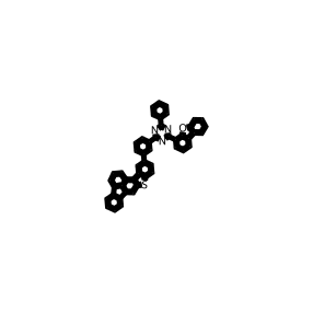 c1ccc(-c2nc(-c3cccc(-c4ccc5sc6cc7c8c(cccc8c6c5c4)-c4ccccc4-7)c3)nc(-c3cccc4c3oc3ccccc34)n2)cc1